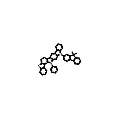 CC1(C)c2ccccc2-c2ccc(-n3c4ccccc4c4cc5c6ccc7sc8ccccc8c7c6n(-c6ccccc6)c5cc43)cc21